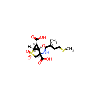 CSCC[C@H](C)C(=O)N[C@@]1(C(=O)O)CS(=O)(=O)[C@H]2[C@H](C(=O)O)[C@H]21